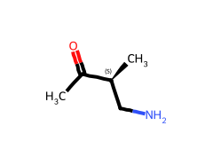 CC(=O)[C@@H](C)CN